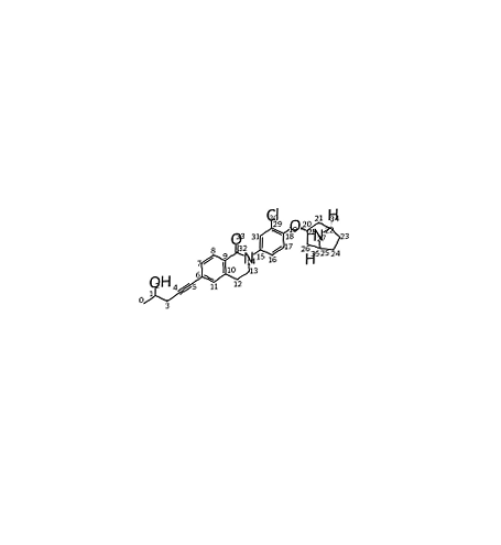 CC(O)CC#Cc1ccc2c(c1)CCN(c1ccc(O[C@H]3C[C@H]4CC[C@@H](C3)N4C)c(Cl)c1)C2=O